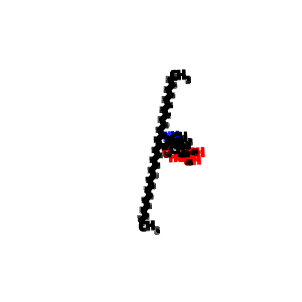 CCCCCCCCCCCCCCCCC(CCCCCCCCCCCCCC)C(=O)C(N)[C](C)(C)[Na].O=P(O)(O)O